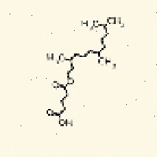 CC(C)CCCC(C)CCCC(C)CCOC(=O)CCCC(=O)O